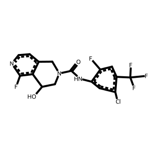 O=C(Nc1cc(Cl)c(C(F)(F)F)cc1F)N1Cc2ccnc(F)c2C(O)C1